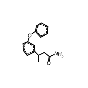 CC(CC(N)=O)c1cccc(Oc2ccccc2)c1